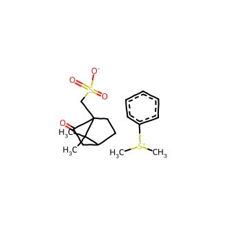 CC1(C)C2CCC1(CS(=O)(=O)[O-])C(=O)C2.C[S+](C)c1ccccc1